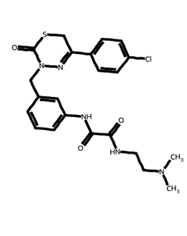 CN(C)CCNC(=O)C(=O)Nc1cccc(CN2N=C(c3ccc(Cl)cc3)CSC2=O)c1